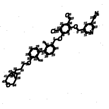 Cc1c(COc2cc(OCc3cncc(C#N)c3)c(C=O)cc2Cl)cccc1-c1cccc(OCCCN2C3CCC2COC3)c1C